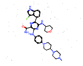 CN1CCN(C2CCN(c3ccc(Nc4nc(NC5CCOCC5)c(-c5cccc6[nH]cc(F)c56)nc4C(N)=O)cc3)CC2)CC1